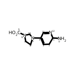 NC1CC=C(N2CCN(C(=O)O)C2)C=N1